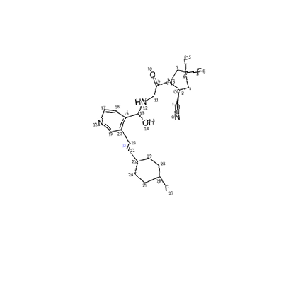 N#C[C@@H]1CC(F)(F)CN1C(=O)CNC(O)c1ccncc1/C=C/C1CCC(F)CC1